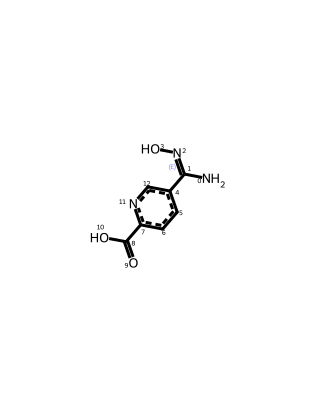 N/C(=N/O)c1ccc(C(=O)O)nc1